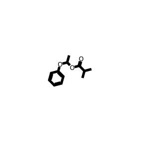 CC(OC(=O)C(C)C)Oc1ccccc1